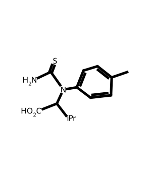 Cc1ccc(N(C(N)=S)C(C(=O)O)C(C)C)cc1